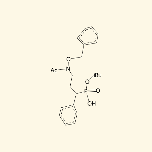 CCC(C)OP(=O)(O)C(CCN(OCc1ccccc1)C(C)=O)c1ccccc1